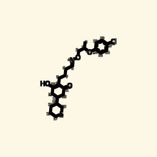 CC(CON=CCCCC1=C(O)CC(C2CCCSC2)CC1=O)Oc1ccc(Cl)cc1